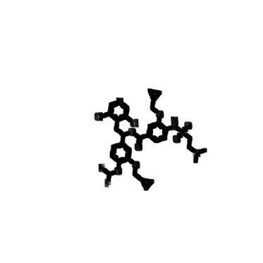 CN(C)CCS(=O)(=O)Nc1ccc(C(=O)OC(Cc2c(Cl)cncc2Cl)c2ccc(OC(F)F)c(OCC3CC3)c2)cc1OCC1CC1